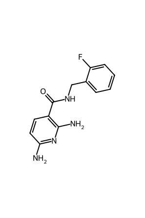 Nc1ccc(C(=O)NCc2ccccc2F)c(N)n1